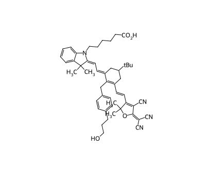 CC1(C)OC(=C(C#N)C#N)C(C#N)=C1/C=C/C1=C(Cc2ccc(CCCO)cc2)C(=C/C=C2/N(CCCCCC(=O)O)c3ccccc3C2(C)C)/CC(C(C)(C)C)C1